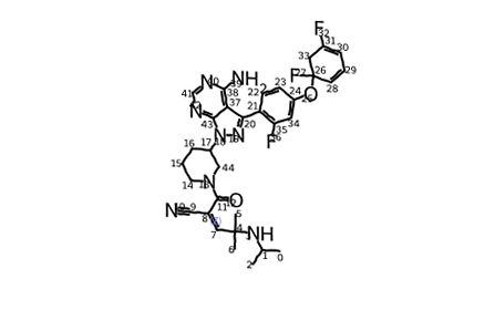 CC(C)NC(C)(C)/C=C(/C#N)C(=O)N1CCCC(n2nc(-c3ccc(OC4(F)C=CC=C(F)C4)cc3F)c3c(N)ncnc32)C1